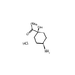 COC(=O)[C@]1(O)CC[C@@H](N)CC1.Cl